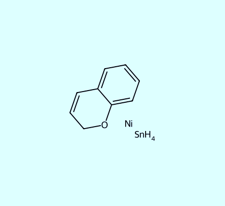 C1=Cc2ccccc2OC1.[Ni].[SnH4]